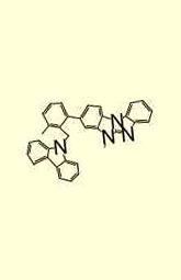 Cc1cccc(-c2ccc3c(c2)n(C)c2nc4ccccc4n32)c1Cn1c2ccccc2c2ccccc21